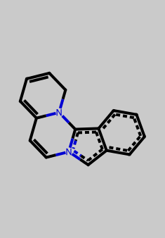 C1=CCN2C(=C1)C=Cn1cc3ccccc3c12